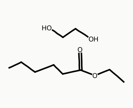 CCCCCC(=O)OCC.OCCO